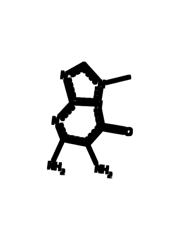 Cn1cnc2nc(N)c(N)c(=O)n21